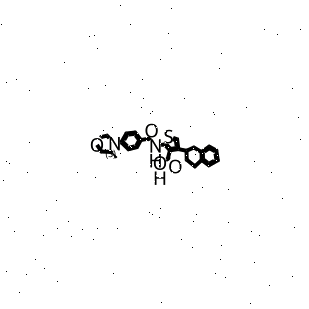 C[C@H]1COCCN1c1ccc(C(=O)Nc2scc(C3CCc4ccccc4C3)c2C(=O)O)cc1